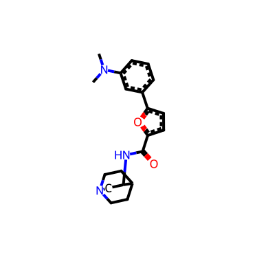 CN(C)c1cccc(-c2ccc(C(=O)NC3CN4CCC3CC4)o2)c1